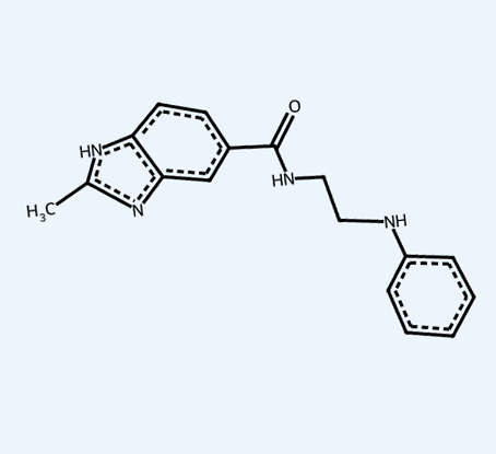 Cc1nc2cc(C(=O)NCCNc3ccccc3)ccc2[nH]1